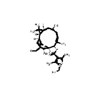 C/C1=C/C[C@H](C)C[C@@H]2[C@H]([C@@H]3C=C(CO)[C@@H](O)[C@@](O)(CC3=O)[C@H]1OC(=O)c1c(C)nn(CC(F)(F)F)c1C)C2(C)C